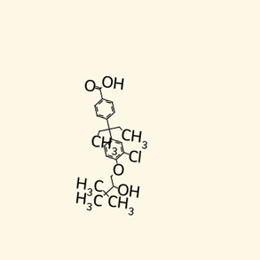 CCC(CC)(c1ccc(C(=O)O)cc1)c1ccc(OCC(O)C(C)(C)C)c(Cl)c1